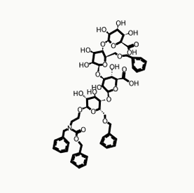 O=C(O)[C@H]1O[C@@H](O[C@H]2[C@H](O)[C@H](O)[C@H](O[C@@H]3[C@@H](O)[C@H](O[C@H]4[C@@H](O)[C@@H](O)[C@H](OCCN(Cc5ccccc5)C(=O)OCc5ccccc5)O[C@H]4COCc4ccccc4)O[C@H](C(=O)O)[C@H]3O)O[C@@H]2COCc2ccccc2)[C@@H](O)[C@H](O)[C@@H]1O